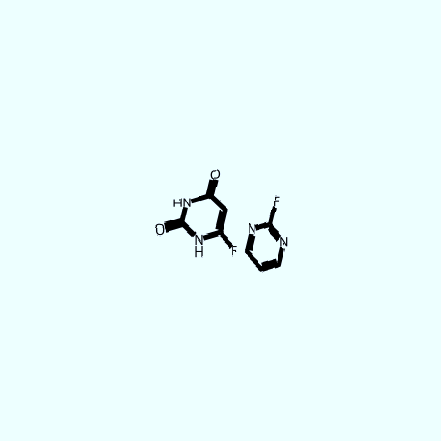 Fc1ncccn1.O=c1cc(F)[nH]c(=O)[nH]1